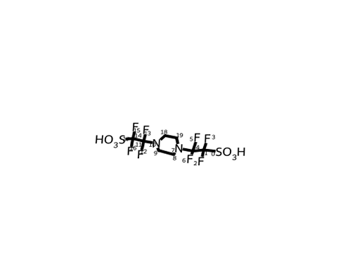 O=S(=O)(O)C(F)(F)C(F)(F)N1CCN(C(F)(F)C(F)(F)S(=O)(=O)O)CC1